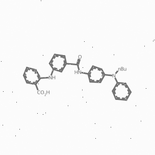 CCCCN(c1ccccc1)c1ccc(NC(=O)c2cccc(Nc3ccccc3C(=O)O)c2)cc1